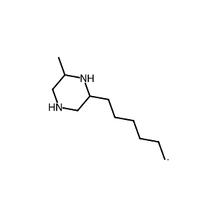 [CH2]CCCCCC1CNCC(C)N1